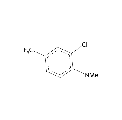 CNc1ccc(C(F)(F)F)cc1Cl